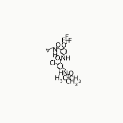 CC(C)(C)C(=O)NCc1ccc(Cl)c(C(=O)Nc2ccc(OCC(F)(F)F)c(C(=O)NCC3CC3)c2)c1